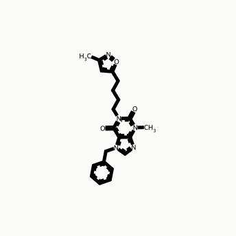 Cc1cc(CCCCn2c(=O)c3c(ncn3Cc3ccccc3)n(C)c2=O)on1